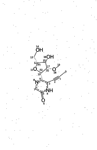 CC#Cc1[nH]c(=O)cnc1[C@@H]1O[C@H](CO)C(O)[C@@H]1OC